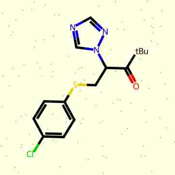 CC(C)(C)C(=O)C(CSc1ccc(Cl)cc1)n1cncn1